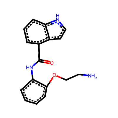 NCCOc1ccccc1NC(=O)c1cccc2[nH]ccc12